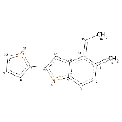 C=c1ccc2sc(-c3cccs3)cc2/c1=C/C